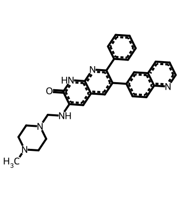 CN1CCN(CNc2cc3cc(-c4ccc5ncccc5c4)c(-c4ccccc4)nc3[nH]c2=O)CC1